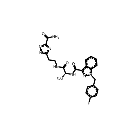 CC(C)(C)[C@H](NC(=O)c1nn(Cc2ccc(F)cc2)c2ccccc12)C(=O)NCCc1noc(C(N)=O)n1